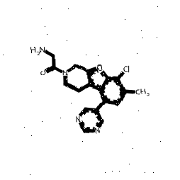 Cc1cc(-c2cncnc2)c2c3c(oc2c1Cl)CN(C(=O)CN)CC3